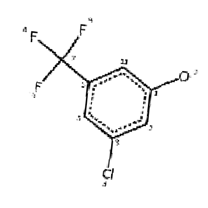 [O]c1cc(Cl)cc(C(F)(F)F)c1